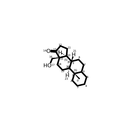 C[C@]12CCCCC1CC[C@H]1[C@@H]3CCC(=O)[C@@]3(CO)CC[C@@H]12